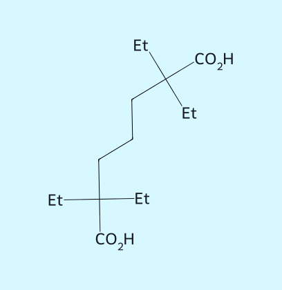 CCC(CC)(CCCC(CC)(CC)C(=O)O)C(=O)O